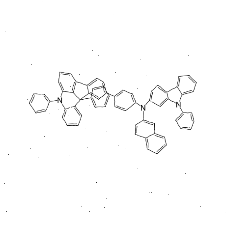 c1ccc(N2c3ccccc3C3(c4ccccc4)c4cc(-c5ccc(N(c6ccc7ccccc7c6)c6ccc7c8ccccc8n(-c8ccccc8)c7c6)cc5)ccc4-c4cccc2c43)cc1